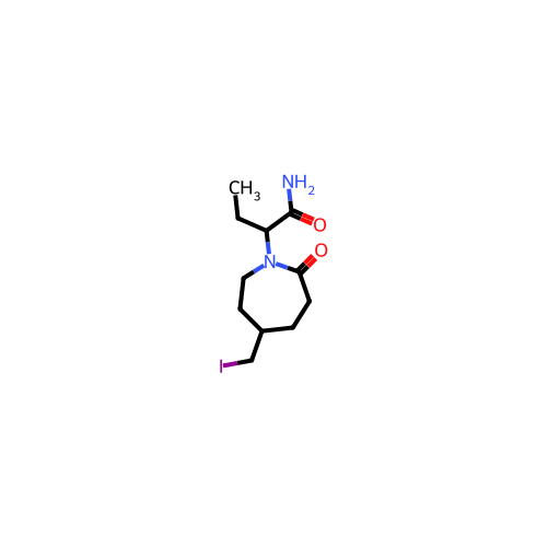 CCC(C(N)=O)N1CCC(CI)CCC1=O